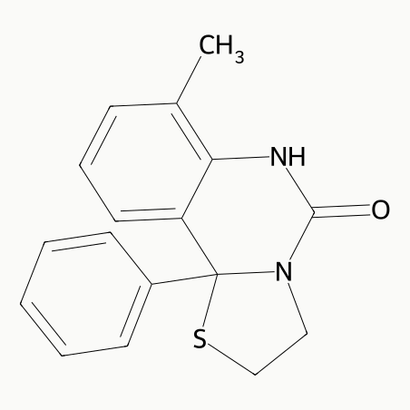 Cc1cccc2c1NC(=O)N1CCSC21c1ccccc1